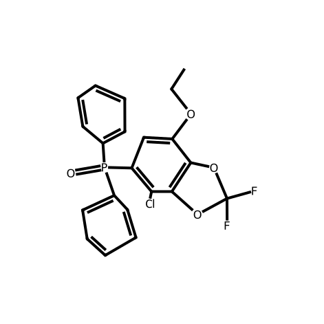 CCOc1cc(P(=O)(c2ccccc2)c2ccccc2)c(Cl)c2c1OC(F)(F)O2